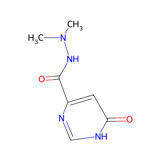 CN(C)NC(=O)c1cc(=O)[nH]cn1